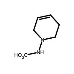 O=C(O)NN1CC=CCC1